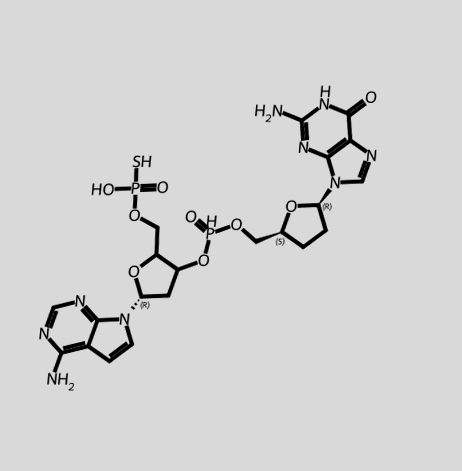 Nc1nc2c(ncn2[C@H]2CC[C@@H](CO[PH](=O)OC3C[C@H](n4ccc5c(N)ncnc54)OC3COP(=O)(O)S)O2)c(=O)[nH]1